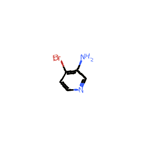 Nc1cnccc1Br